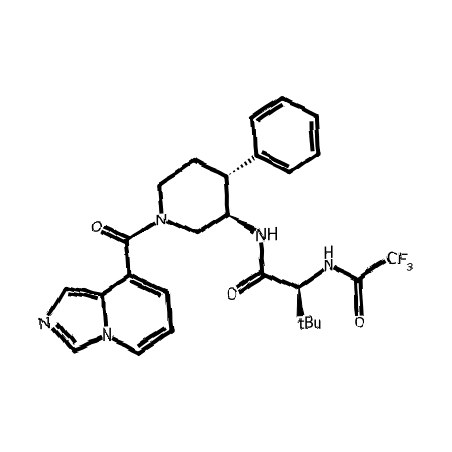 CC(C)(C)[C@H](NC(=O)C(F)(F)F)C(=O)N[C@H]1CN(C(=O)c2cccn3cncc23)CC[C@@H]1c1ccccc1